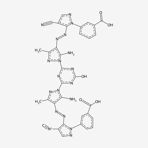 [C-]#[N+]c1cnn(-c2cccc(C(=O)O)c2)c1N=Nc1c(C)nn(-c2nc(O)nc(-n3nc(C)c(N=Nc4c(C#N)cnn4-c4cccc(C(=O)O)c4)c3N)n2)c1N